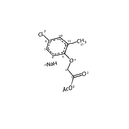 CC(=O)OC(=O)COc1ccc(Cl)cc1C.[NaH]